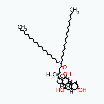 CCCCCCCCCCCCCCCCCCN(CCCCCCCCCCCCCCCCCC)C(=O)CC[C@@H](C)[C@H]1CC[C@H]2[C@@H]3[C@H](O)C[C@@H]4C[C@H](O)CC[C@]4(C)[C@H]3C[C@H](O)[C@]12C